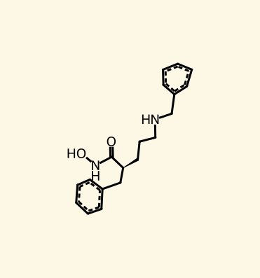 O=C(NO)[C@@H](CCCNCc1ccccc1)Cc1ccccc1